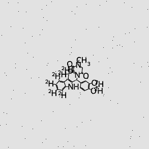 [2H]c1c([2H])c([2H])c2c3c([nH]c2c1[2H])C(c1ccc2c(c1)OC([2H])([2H])O2)N1C(=O)CN(C)C(=O)[C@H]1C3([2H])[2H]